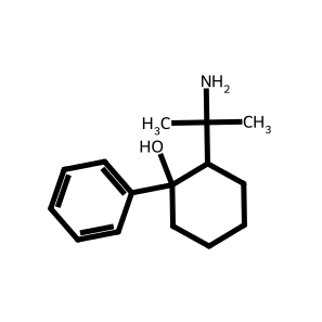 CC(C)(N)C1CCCCC1(O)c1ccccc1